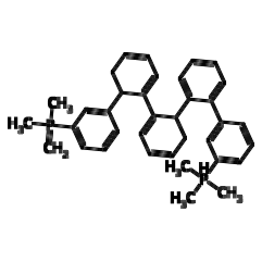 C=P(C)(C)c1cccc(C2CC=CC=C2C2=CC=CCC2c2ccccc2-c2cccc([PH](C)(C)C)c2)c1